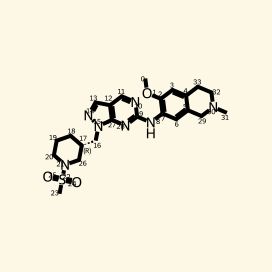 COc1cc2c(cc1Nc1ncc3cnn(C[C@H]4CCCN(S(C)(=O)=O)C4)c3n1)CN(C)CC2